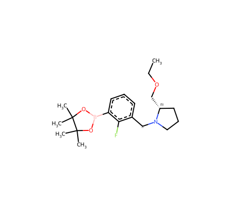 CCOC[C@@H]1CCCN1[C]c1cccc(B2OC(C)(C)C(C)(C)O2)c1F